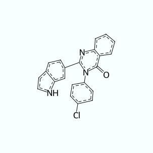 O=c1c2ccccc2nc(-c2ccc3cc[nH]c3c2)n1-c1ccc(Cl)cc1